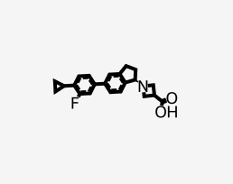 O=C(O)C1CN([C@H]2CCc3cc(-c4ccc(C5CC5)c(F)c4)ccc32)C1